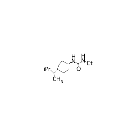 CCNC(=O)N[C@H]1CC[C@H](C(C)C(C)C)CC1